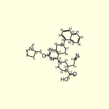 CN1CCCC1COc1nc2c(c(N3CCN(C(=O)O)C(CC#N)C3)n1)CCN(c1cccc3ccccc13)C2